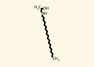 CCCCCCCCCCCCCCCCCCCCNCC(C)O